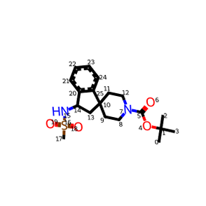 CC(C)(C)OC(=O)N1CCC2(CC1)CC(NS(C)(=O)=O)c1ccccc12